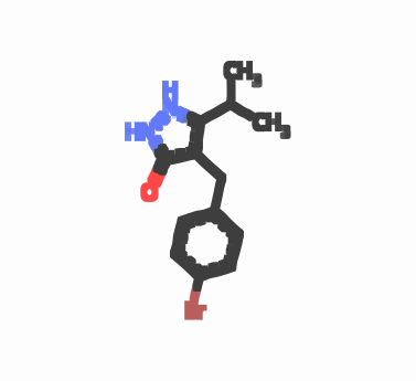 CC(C)c1[nH][nH]c(=O)c1Cc1ccc(Br)cc1